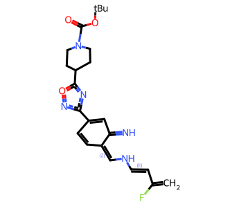 C=C(F)/C=C/N/C=C1/C=CC(c2noc(C3CCN(C(=O)OC(C)(C)C)CC3)n2)=CC1=N